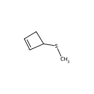 CSC1[C]=CC1